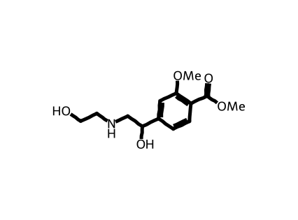 COC(=O)c1ccc(C(O)CNCCO)cc1OC